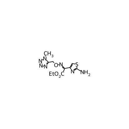 CCOC(=O)/C(=N\OCc1nnnn1C)c1csc(N)n1